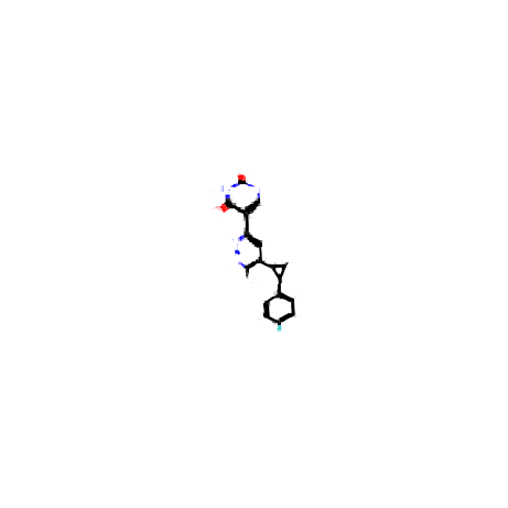 N#Cc1nnc(-c2c[nH]c(=O)[nH]c2=O)cc1C1CC1c1ccc(F)cc1